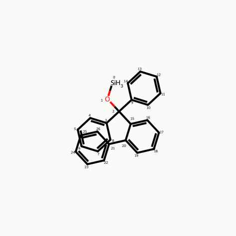 [SiH3]OC(c1ccccc1)(c1ccccc1)c1ccccc1-c1ccccc1